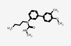 CCCCN(C(=O)NC)c1cccc(-c2ccc(OC)c(C)c2)c1